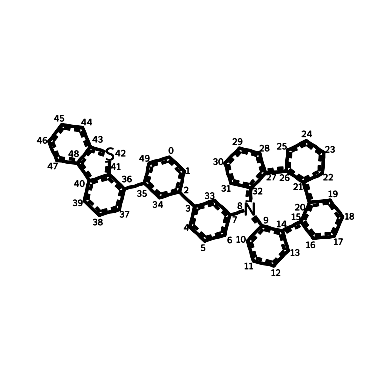 c1cc(-c2cccc(-n3c4ccccc4c4ccccc4c4ccccc4c4ccccc43)c2)cc(-c2cccc3c2sc2ccccc23)c1